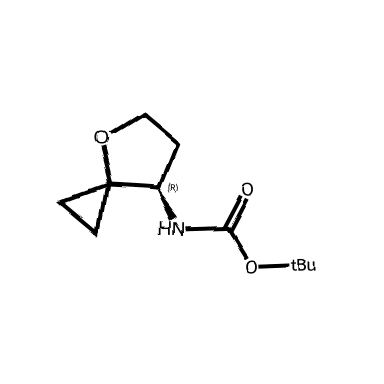 CC(C)(C)OC(=O)N[C@@H]1CCOC12CC2